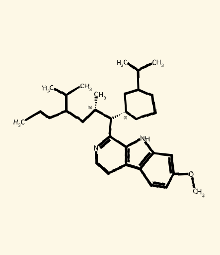 CCCC(C[C@H](C)C(C1=NCCc2c1[nH]c1cc(OC)ccc21)[C@H]1CCCC(C(C)C)C1)C(C)C